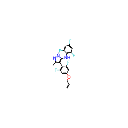 C=CCOc1cc(F)c(-c2c(C)nn(C)c2Nc2c(F)cc(F)cc2F)c(F)c1